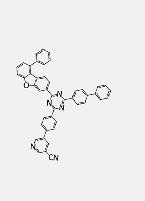 N#Cc1cncc(-c2ccc(-c3nc(-c4ccc(-c5ccccc5)cc4)nc(-c4ccc5c(c4)oc4cccc(-c6ccccc6)c45)n3)cc2)c1